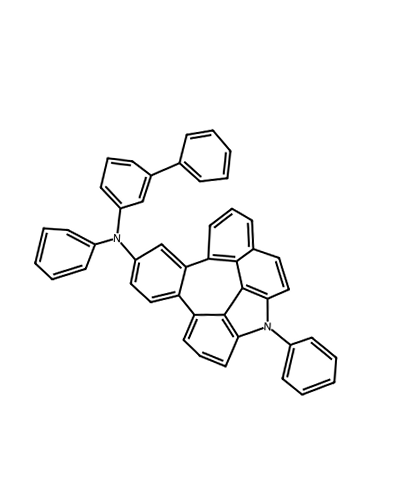 c1ccc(-c2cccc(N(c3ccccc3)c3ccc4c(c3)-c3cccc5ccc6c(c35)c3c-4cccc3n6-c3ccccc3)c2)cc1